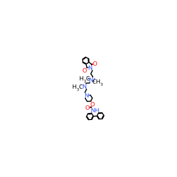 CN(CCN1CCC(OC(=O)Nc2ccccc2-c2ccccc2)CC1)CC[N+](C)(C)CCCN1C(=O)c2ccccc2C1=O